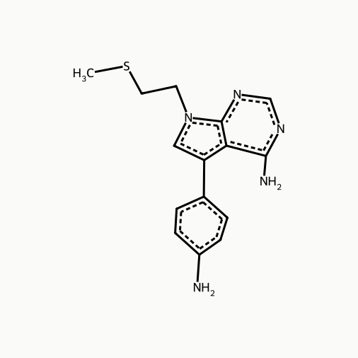 CSCCn1cc(-c2ccc(N)cc2)c2c(N)ncnc21